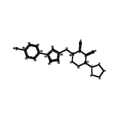 O=C1C(=O)N(C2CCCC2)CCN1Cc1nnc(-c2ccc(F)cc2)s1